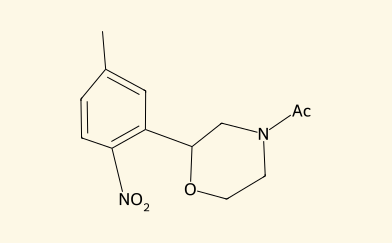 CC(=O)N1CCOC(c2cc(C)ccc2[N+](=O)[O-])C1